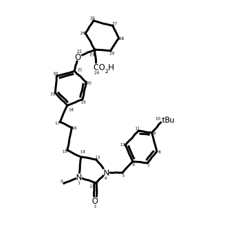 CN1C(=O)N(Cc2ccc(C(C)(C)C)cc2)CC1CCCc1ccc(OC2(C(=O)O)CCCCC2)cc1